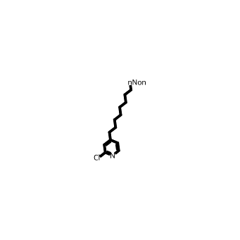 CCCCCCCCCCCCCCCCCc1ccnc(Cl)c1